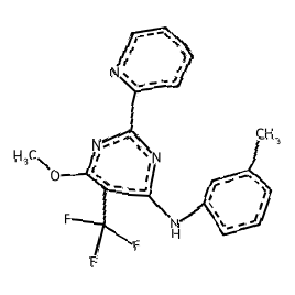 COc1nc(-c2ccccn2)nc(Nc2cccc(C)c2)c1C(F)(F)F